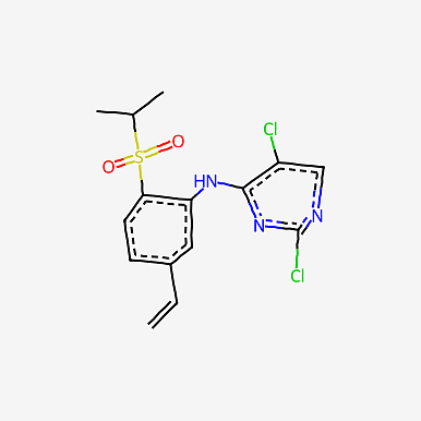 C=Cc1ccc(S(=O)(=O)C(C)C)c(Nc2nc(Cl)ncc2Cl)c1